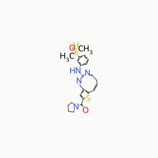 C[SH](C)(=O)c1cccc(NC2=N/Cc3cc(C(=O)N4CCCC4)sc3/C=C\C/C=N\2)c1